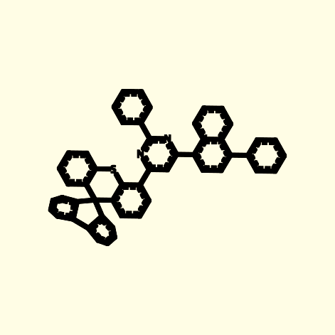 c1ccc(-c2nc(-c3cccc4c3Sc3ccccc3C43c4ccccc4-c4ccccc43)cc(-c3ccc(-c4ccccc4)c4ccccc34)n2)cc1